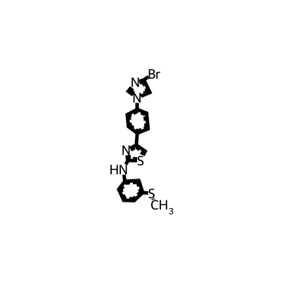 CSc1cccc(Nc2nc(-c3ccc(-n4cnc(Br)c4)cc3)cs2)c1